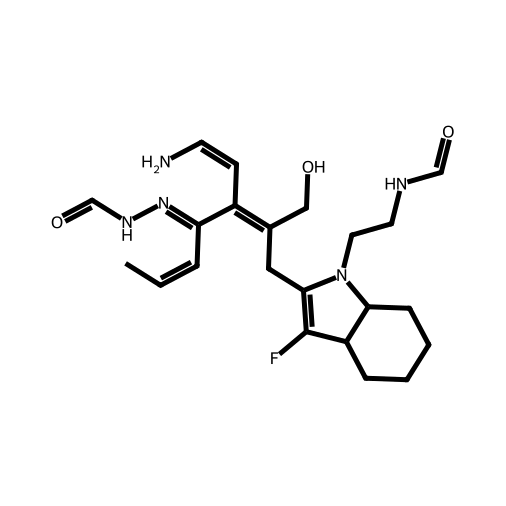 C\C=C/C(=N\NC=O)C(/C=C\N)=C(/CO)CC1=C(F)C2CCCCC2N1CCNC=O